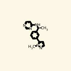 C[C@H](Nc1ccncn1)c1cccc(-c2ccnn2C)c1